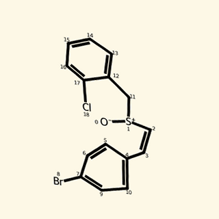 [O-][S+](/C=C\c1ccc(Br)cc1)Cc1ccccc1Cl